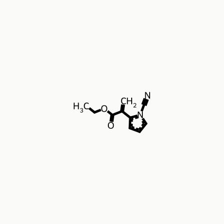 C=C(C(=O)OCC)c1cccn1C#N